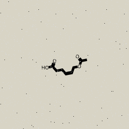 CC(=O)OC/C=C\CCC(=O)O